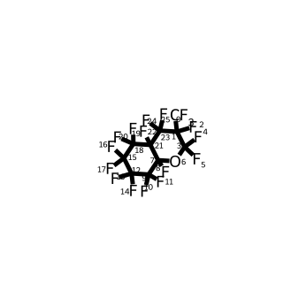 FC(F)(F)C1(F)C(F)(F)OC2(F)C(F)(F)C(F)(F)C(F)(F)C(F)(F)C2(F)C1(F)F